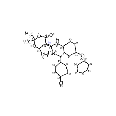 CC1(C)OC(=O)/C(=C(/NCC2CCC(Cl)CC2)NC2CCC(OC3CCCCC3)CC2)C(O)O1